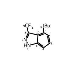 CC(C)(C)c1cccc2[nH]nc(C(F)(F)F)c12